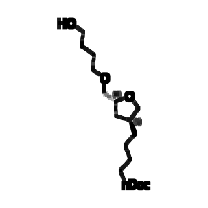 CCCCCCCCCCCCCC[C@@H]1CO[C@@H](COCCCCO)C1